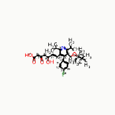 CC(C)c1nc(C(C)C)c(CO[Si](C)(C)C(C)(C)C)c(-c2ccc(F)cc2)c1/C=C/C(O)CC(=O)CC(=O)O